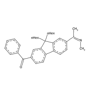 CCCCCCC1(CCCCCC)c2cc(C(=O)c3ccccc3)ccc2-c2ccc(/C(C)=N\C)cc21